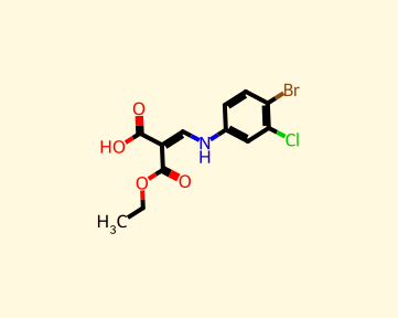 CCOC(=O)C(=CNc1ccc(Br)c(Cl)c1)C(=O)O